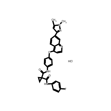 Cc1cc(-c2ccc3c(Oc4ccc(NC(=O)C5(C(=O)Nc6ccc(F)cc6)CC5)cc4)ccnc3c2)nn1C.Cl